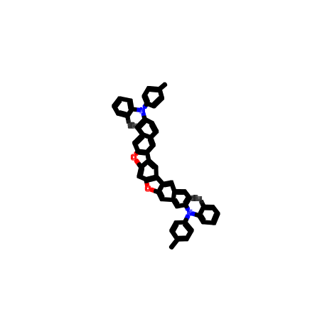 Cc1ccc(N(c2ccc3cc4c(cc3c2)oc2cc3oc5cc6cc(N(c7ccc(C)cc7)c7ccccc7C(C)(C)C)ccc6cc5c3cc24)c2ccccc2C(C)(C)C)cc1